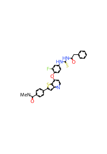 CNC(=O)c1ccc(-c2cc3nccc(Oc4ccc(NC(=S)NC(=O)Cc5ccccc5)cc4F)c3s2)cc1